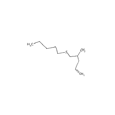 C=CCC(C)CSCCCCC